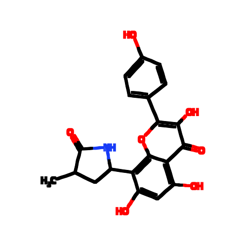 CC1CC(c2c(O)cc(O)c3c(=O)c(O)c(-c4ccc(O)cc4)oc23)NC1=O